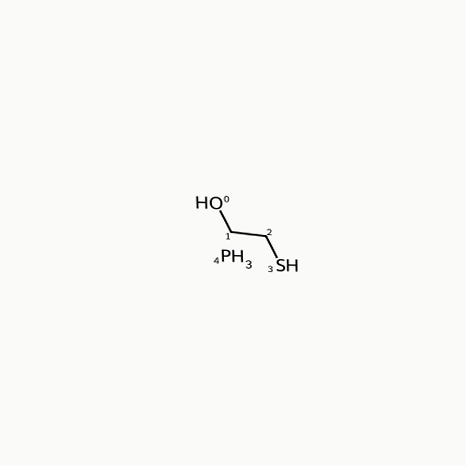 OCCS.P